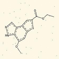 CCOC(=O)c1cc2c(cc(OC)c3[nH]ncc32)s1